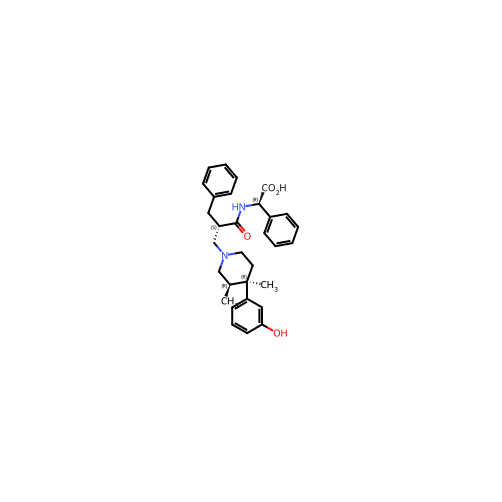 C[C@H]1CN(C[C@H](Cc2ccccc2)C(=O)N[C@@H](C(=O)O)c2ccccc2)CC[C@@]1(C)c1cccc(O)c1